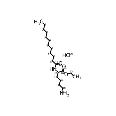 CCCCCCCCCCCC(=O)NC(CCCCN)C(=O)OCC.Cl